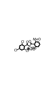 CCC(C)P(=O)(C(=O)c1c(Cl)cc(Cl)cc1Cl)C(=O)c1c(OC)cccc1OC